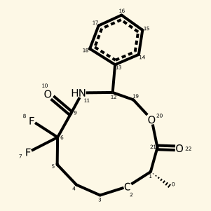 C[C@@H]1CCCCC(F)(F)C(=O)NC(c2ccccc2)COC1=O